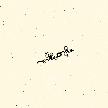 CCCCOCCN(CCOc1ccc(CC(OCC)C(=O)O)cc1)C(=O)OC(C)C